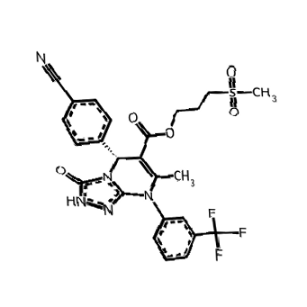 CC1=C(C(=O)OCCCS(C)(=O)=O)[C@@H](c2ccc(C#N)cc2)n2c(n[nH]c2=O)N1c1cccc(C(F)(F)F)c1